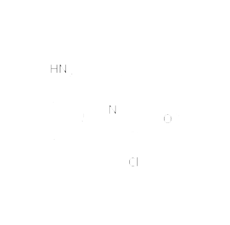 CC1(C)CNCCN1C(=O)Cl